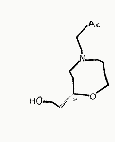 CC(=O)CN1CCO[C@H](CO)C1